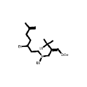 C=C(C)CCC(CC)CCN(CC)C/C(=C\OC)C(C)(C)CC